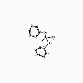 CS(O)(Oc1ccccc1)Oc1ccccc1